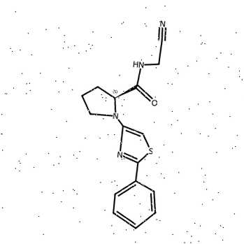 N#CCNC(=O)[C@@H]1CCCN1c1csc(-c2ccccc2)n1